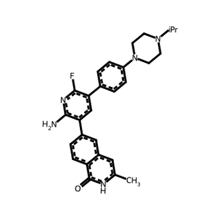 Cc1cc2cc(-c3cc(-c4ccc(N5CCN(C(C)C)CC5)cc4)c(F)nc3N)ccc2c(=O)[nH]1